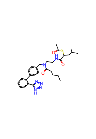 CCCCC(=O)N(CCNC(=O)C(CC(C)C)SC(C)=O)Cc1ccc(-c2ccccc2-c2nnn[nH]2)cc1